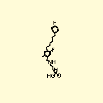 Cc1cc(CCCCCCc2ccc(F)cc2)c(F)cc1CNCCCO[PH](=O)O